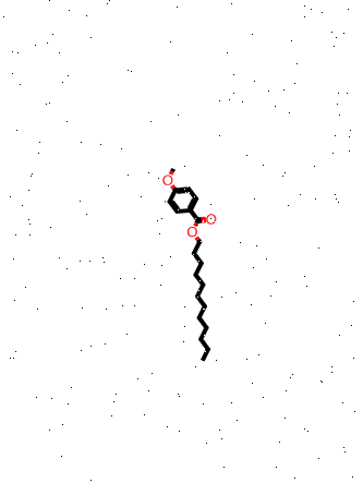 CCCCCCCCCCCCOC(=O)c1c[c]c(OC)cc1